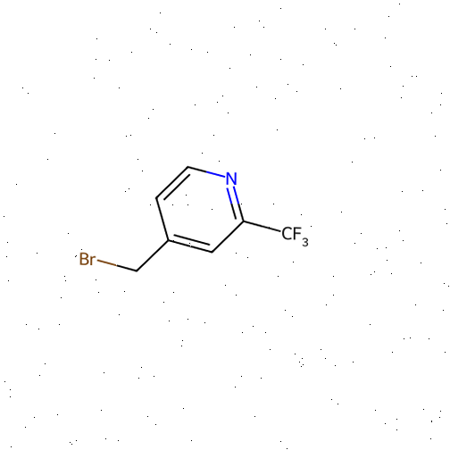 FC(F)(F)c1cc(CBr)ccn1